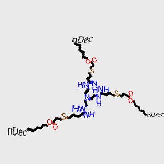 CCCCCCCCCCCCCCCCOC(=O)CCSCCCC(=N)NCCN(CCNC(=N)CCCSCCC(=O)OCCCCCCCCCCCCCCCC)CCNC(=N)CCCSCCC(=O)OCCCCCCCCCCCCCCCC